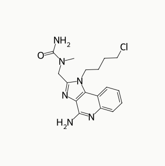 CN(Cc1nc2c(N)nc3ccccc3c2n1CCCCCl)C(N)=O